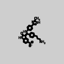 Cc1nc(-c2ccc(N/C(=C3\C(=O)Nc4ccc([N+](=O)[O-])cc43)c3ccc(CCCN)cc3)cc2)c[nH]1